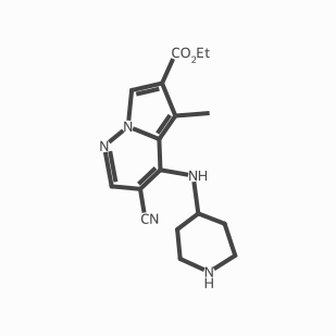 CCOC(=O)c1cn2ncc(C#N)c(NC3CCNCC3)c2c1C